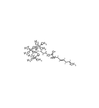 C=CCC=CCNC(=O)OCCC[Si](O[Si](C)(C)C)(O[Si](C)(C)C)O[Si](C)(C)C